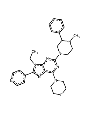 CCn1c(-c2ccncc2)nc2c(N3CCOCC3)nc(N3CCN(C)C(c4ccccc4)C3)nc21